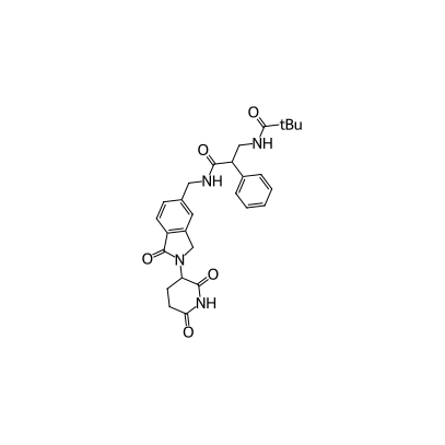 CC(C)(C)C(=O)NCC(C(=O)NCc1ccc2c(c1)CN(C1CCC(=O)NC1=O)C2=O)c1ccccc1